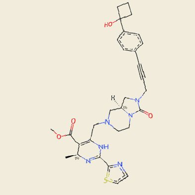 COC(=O)C1=C(CN2CCN3C(=O)N(CC#Cc4ccc(C5(O)CCC5)cc4)C[C@@H]3C2)NC(c2nccs2)=N[C@H]1C